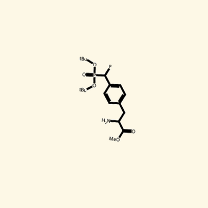 COC(=O)C(N)Cc1ccc(C(F)P(=O)(OC(C)(C)C)OC(C)(C)C)cc1